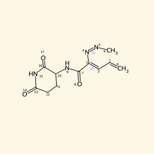 C=C/C=C(\N=N/C)C(=O)NC1CCC(=O)NC1=O